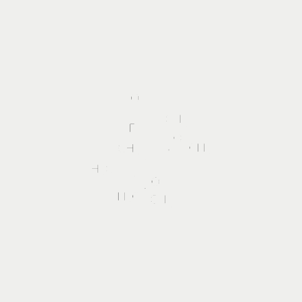 COc1cc2c(cc1C(C)=C(F)C=O)C(C(C)C)=CC(C)(C)O2